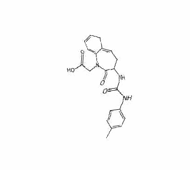 Cc1ccc(NC(=O)NC2CC=C3CC=CC=C3N(CC(=O)O)C2=O)cc1